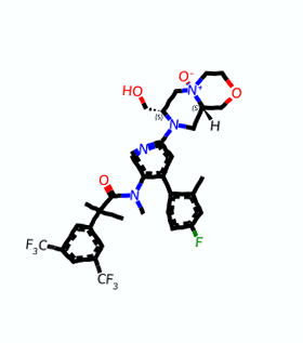 Cc1cc(F)ccc1-c1cc(N2C[C@H]3COCC[N+]3([O-])C[C@H]2CO)ncc1N(C)C(=O)C(C)(C)c1cc(C(F)(F)F)cc(C(F)(F)F)c1